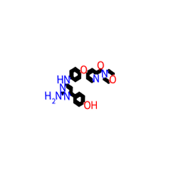 Nc1nc(Nc2ccc(Oc3ccnc(C(=O)N4CCOCC4)c3)cc2)cc(-c2ccc(O)cc2)n1